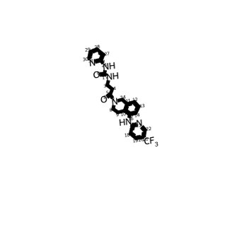 O=C(NCCC(=O)N1CCc2c(cccc2Nc2ccc(C(F)(F)F)cn2)C1)Nc1ccccn1